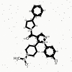 C[S+]([O-])N1CCC(c2c(C(=O)N3CCC(c4ccccc4)C3)cnn2-c2ccc(Cl)cc2)CC1